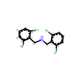 Fc1cccc(F)c1CNCc1c(F)cccc1F